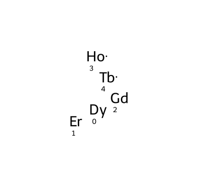 [Dy].[Er].[Gd].[Ho].[Tb]